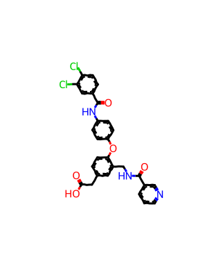 O=C(O)Cc1ccc(Oc2ccc(NC(=O)c3ccc(Cl)c(Cl)c3)cc2)c(CNC(=O)c2cccnc2)c1